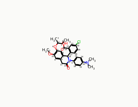 CCC(C)Oc1cc2c(cc1OC)CC(=O)N(c1ccc(N(C)C)cc1)C2c1ccc(Cl)cc1C(=O)O